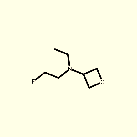 CCN(CCF)C1COC1